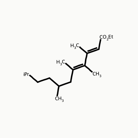 CCOC(=O)/C=C(C)/C(C)=C(\C)CC(C)CCC(C)C